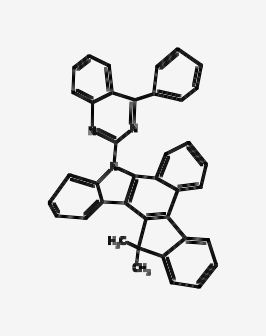 CC1(C)c2ccccc2-c2c1c1c3ccccc3n(-c3nc(-c4ccccc4)c4ccccc4n3)c1c1ccccc21